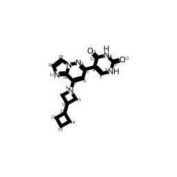 O=c1[nH]cc(-c2cc(N3CC(C4CCC4)C3)c3nccn3n2)c(=O)[nH]1